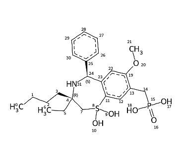 CCCC[C@]1(CC)CS(O)(O)c2cc(CP(=O)(O)O)c(OC)cc2[C@H](c2ccccc2)N1